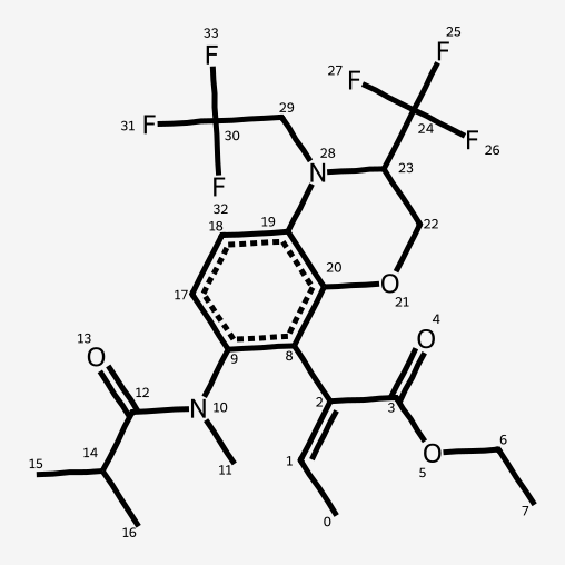 CC=C(C(=O)OCC)c1c(N(C)C(=O)C(C)C)ccc2c1OCC(C(F)(F)F)N2CC(F)(F)F